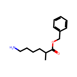 CC(CCCCN)C(=O)OCc1ccccc1